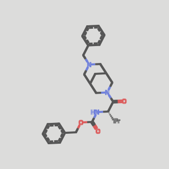 CC(C)[C@H](NC(=O)OCc1ccccc1)C(=O)N1CC2CC(CN(Cc3ccccc3)C2)C1